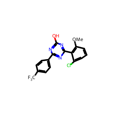 COc1cccc(Cl)c1-c1nc(O)nc(-c2ccc(C(F)(F)F)cc2)n1